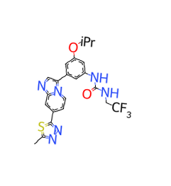 Cc1nnc(-c2ccn3c(-c4cc(NC(=O)NCC(F)(F)F)cc(OC(C)C)c4)cnc3c2)s1